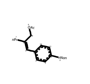 CCCCCCCCCc1ccc(C=C(CCC)COC(C)=O)cc1